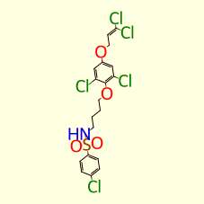 O=S(=O)(NCCCCOc1c(Cl)cc(OCC=C(Cl)Cl)cc1Cl)c1ccc(Cl)cc1